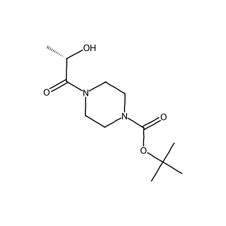 C[C@H](O)C(=O)N1CCN(C(=O)OC(C)(C)C)CC1